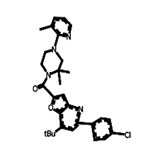 Cc1cccnc1N1CCN(C(=O)c2cc3nc(-c4ccc(Cl)cc4)cc(C(C)(C)C)c3o2)C(C)(C)C1